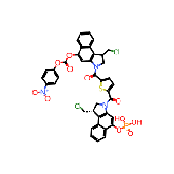 O=C(Oc1ccc([N+](=O)[O-])cc1)Oc1cc2c(c3ccccc13)C(CCl)CN2C(=O)c1ccc(C(=O)N2C[C@@H](CCl)c3c2cc(OP(=O)(O)O)c2ccccc32)s1